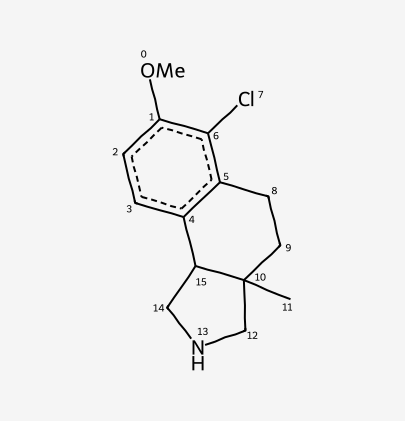 COc1ccc2c(c1Cl)CCC1(C)CNCC21